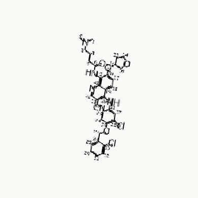 CN(C)C/C=C/C(=O)Nc1c(O[C@H]2CCOC2)ccc2c(Nc3ccc(OCc4ccccc4Cl)c(Cl)c3)c(C#N)cnc12